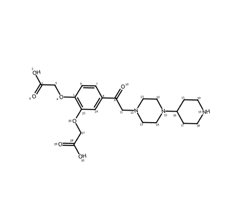 O=C(O)COc1ccc(C(=O)CN2CCN(C3CCNCC3)CC2)cc1OCC(=O)O